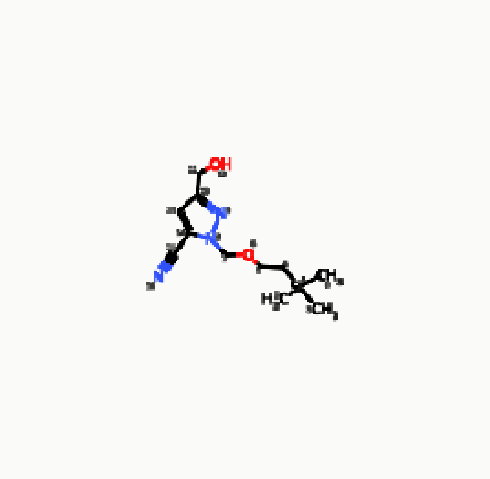 C[Si](C)(C)CCOCn1nc(CO)cc1C#N